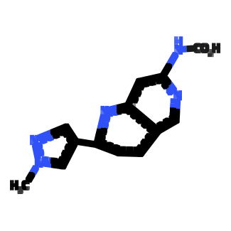 Cn1cc(-c2ccc3cnc(NC(=O)O)cc3n2)cn1